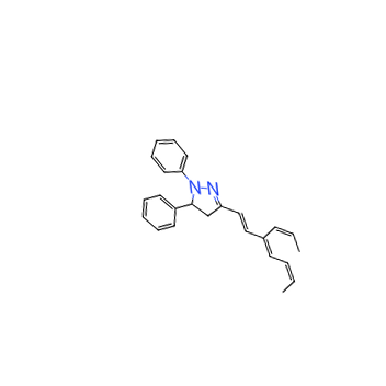 C\C=C/C=C(\C=C/C)/C=C/C1=NN(c2ccccc2)C(c2ccccc2)C1